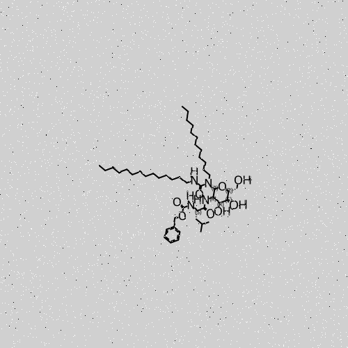 CCCCCCCCCCCCCCNC(=O)N(CCCCCCCCCCCC)[C@@H]1O[C@H](CO)[C@@H](O)[C@H](O)[C@H]1NC(=O)[C@H](CC(C)C)NC(=O)OCc1ccccc1